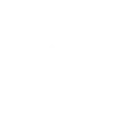 C=CPP(c1ccccc1)c1ccccc1.[Ru]